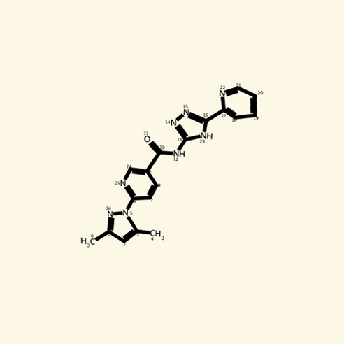 Cc1cc(C)n(-c2ccc(C(=O)Nc3nnc(-c4ccccn4)[nH]3)cn2)n1